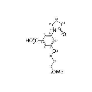 COCCCOc1cc(C(=O)O)cc(N2CCCC2=O)c1